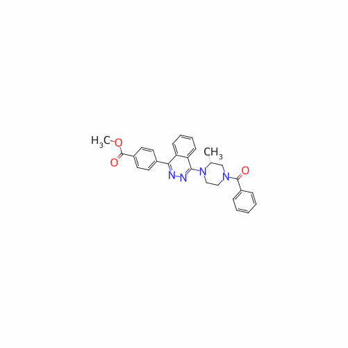 COC(=O)c1ccc(-c2nnc(N3CCN(C(=O)c4ccccc4)C[C@H]3C)c3ccccc23)cc1